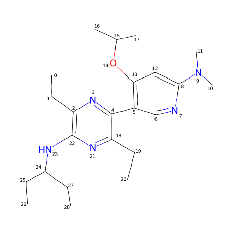 CCc1nc(-c2cnc(N(C)C)cc2OC(C)C)c(CC)nc1NC(CC)CC